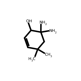 CC1(C)C=CC(O)C(N)(N)C1